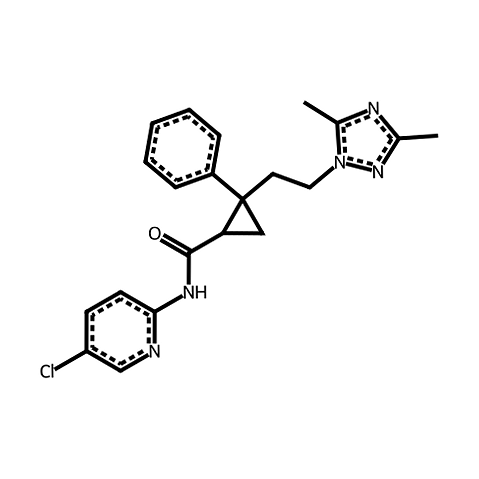 Cc1nc(C)n(CCC2(c3ccccc3)CC2C(=O)Nc2ccc(Cl)cn2)n1